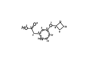 O=C(O)Cc1cc(OC2CCC2)ccn1